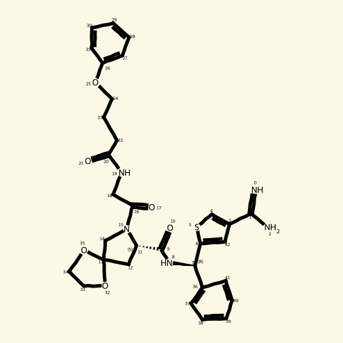 N=C(N)c1csc([C@H](NC(=O)[C@@H]2CC3(CN2C(=O)CNC(=O)CCCOc2ccccc2)OCCO3)c2ccccc2)c1